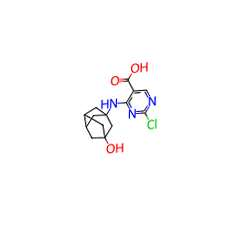 O=C(O)c1cnc(Cl)nc1NC12CC3CC(O)(CC3C1)C2